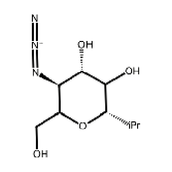 CC(C)[C@@H]1OC(CO)[C@@H](N=[N+]=[N-])[C@H](O)C1O